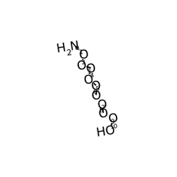 NOOOOOOOOOO